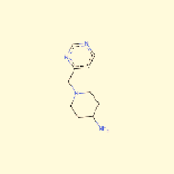 NC1CCN(Cc2ccncn2)CC1